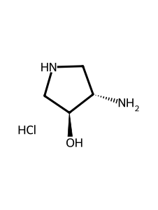 Cl.N[C@H]1CNC[C@@H]1O